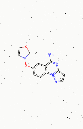 Nc1nc2ccnn2c2ccc(ON3C=COC3)cc12